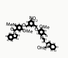 CNc1cc(OCc2cc(COc3cc(/N=C/C[C@@H]4CC5=C(C=CCC5)N4C=O)c(C)cc3OC)cc([N+](=O)[O-])c2)c(OC)cc1C(=O)N1CCc2ccccc21